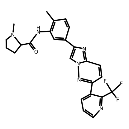 Cc1ccc(-c2cn3nc(-c4cccnc4C(F)(F)F)ccc3n2)cc1NC(=O)C1CCCN1C